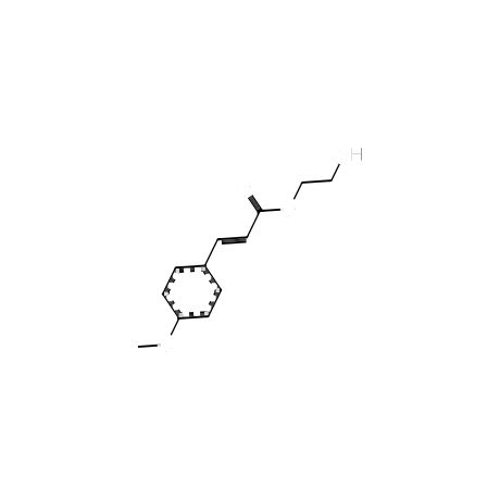 COc1ccc(/C=C/C(=O)OCCS)cc1